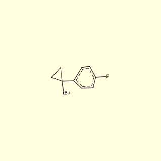 CC(C)(C)C1(c2ccc(F)cc2)CC1